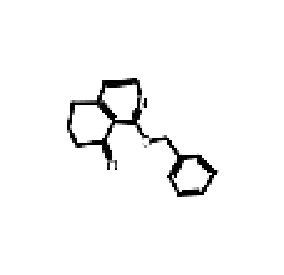 O=C1CCCc2ccnc(OCc3ccccc3)c21